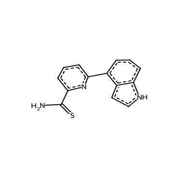 NC(=S)c1cccc(-c2cccc3[nH]ccc23)n1